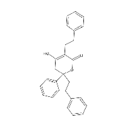 O=C1OC(CCc2ccccc2)(c2ccccc2)CC(O)=C1CCc1ccccc1